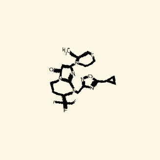 CC1COCCN1c1cc(=O)n2c(n1)N(Cc1noc(C3CC3)n1)C(C(F)(F)F)CC2